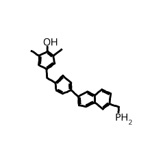 Cc1cc(Cc2ccc(-c3ccc4cc(CP)ccc4c3)cc2)cc(C)c1O